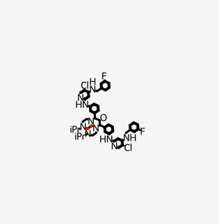 CC(C)N1CCN(C(C(=O)C(c2cccc(Nc3cc(NCc4cccc(F)c4)c(Cl)cn3)c2)N2CCN(C(C)C)CC2)c2cccc(Nc3cc(NCc4cccc(F)c4)c(Cl)cn3)c2)CC1